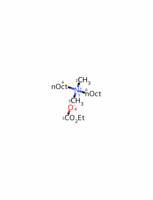 CCCCCCCC[N+](C)(C)CCCCCCCC.CCOC(=O)[O-]